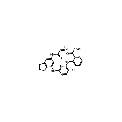 C=CC(=O)Nc1cc2c(c(Nc3ncc(Cl)c(Nc4ccccc4C(=O)NC)n3)c1)CCC2